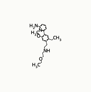 CCOCCNCCc1cc(OC)c(-c2cccc(N)n2)cc1CC